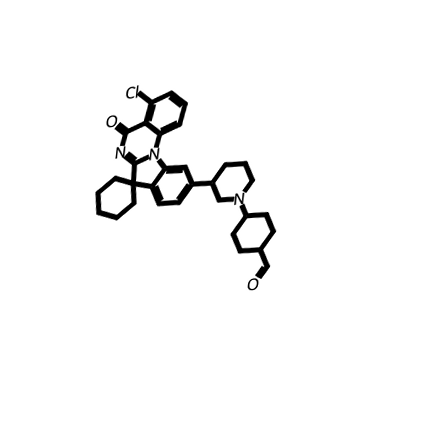 O=CC1CCC(N2CCCC(c3ccc4c(c3)-n3c(nc(=O)c5c(Cl)cccc53)C43CCCCC3)C2)CC1